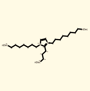 CCCCCCCCCCCCCCCCCC[n+]1ccn(CCCCCCCCCCCCCCCCC)c1CCCCCCCCCCCCC